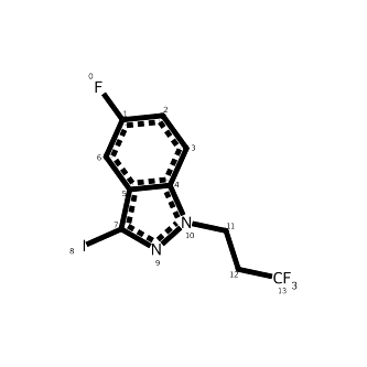 Fc1ccc2c(c1)c(I)nn2CCC(F)(F)F